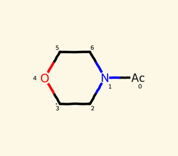 CC(=O)N1C[CH]OCC1